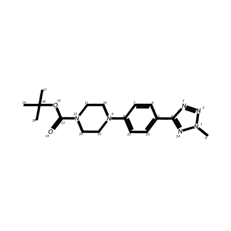 Cn1nnc(-c2ccc(N3CCN(C(=O)OC(C)(C)C)CC3)cc2)n1